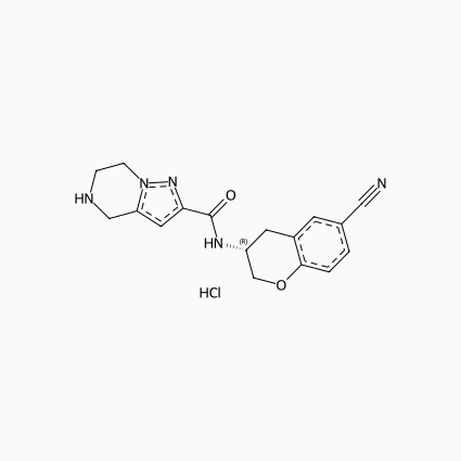 Cl.N#Cc1ccc2c(c1)C[C@@H](NC(=O)c1cc3n(n1)CCNC3)CO2